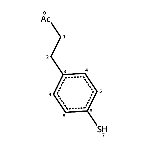 CC(=O)CCc1ccc(S)cc1